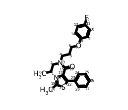 CCCN(CCCOc1ccc(F)cc1)C(=O)c1nc(C)sc1-c1ccccc1